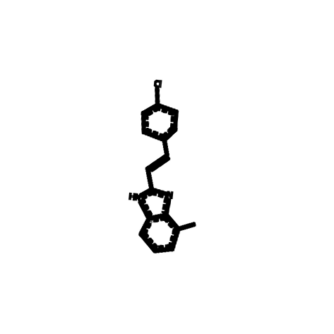 Cc1cccc2[nH]c(C=Cc3ccc(Cl)cc3)nc12